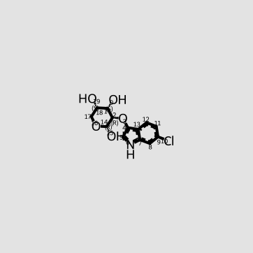 O[C@@H]1[C@@H](Oc2c[nH]c3cc(Cl)ccc23)[C@H](O)OC[C@@H]1O